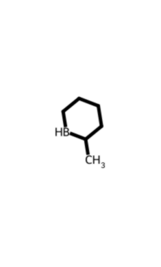 CC1BCCCC1